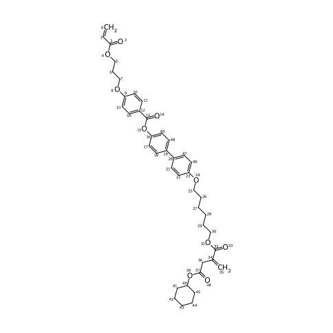 C=CC(=O)OCCCOc1ccc(C(=O)Oc2ccc(-c3ccc(OCCCCCCOC(=O)C(=C)CC(=O)OC4CCCCC4)cc3)cc2)cc1